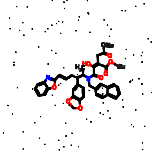 COC(=O)CC(C(=O)OC(C)(C)C)=C(O)C(=O)N(Cc1ccc2ccccc2c1)[C@H](C)[C@H](C/C=C/c1nc2ccccc2o1)c1ccc2c(c1)OCO2